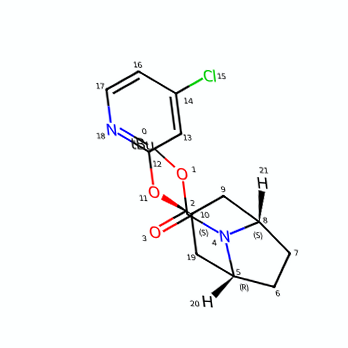 CC(C)(C)OC(=O)N1[C@@H]2CC[C@H]1C[C@H](Oc1cc(Cl)ccn1)C2